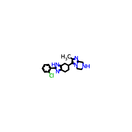 Cc1nc2n(c1C1CCc3nc(-c4ccccc4Cl)[nH]c3C1)CCNC2